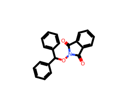 O=C1c2ccccc2C(=O)N1OC(c1ccccc1)c1ccccc1